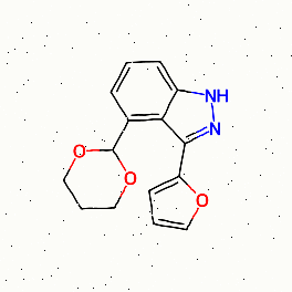 c1coc(-c2n[nH]c3cccc(C4OCCCO4)c23)c1